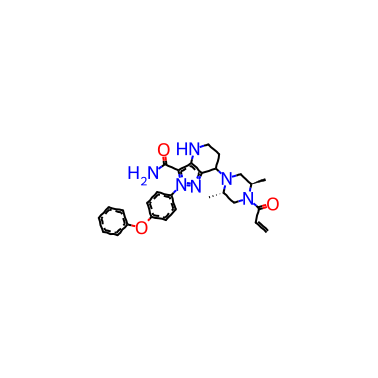 C=CC(=O)N1C[C@H](C)N(C2CCNc3c2nn(-c2ccc(Oc4ccccc4)cc2)c3C(N)=O)C[C@H]1C